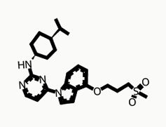 CC(C)[C@H]1CC[C@H](Nc2nccc(-n3ccc4c(OCCCS(C)(=O)=O)cccc43)n2)CC1